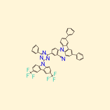 N#Cc1cc(-c2nc(-c3ccccc3)nc(-n3c4ccc(C(F)(F)F)cc4c4cc(C(F)(F)F)ccc43)n2)ccc1-n1c2ccc(-c3ccccc3)cc2c2cc(-c3ccccc3)ccc21